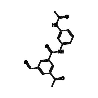 CC(=O)Nc1cccc(NC(=O)c2cc(C=O)cc(C(C)=O)c2)c1